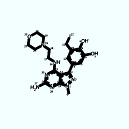 Cn1nc(-c2cc(O)c(O)c(CI)c2)c2c(NCCN3CCOCC3)nc(N)nc21